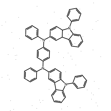 C1=CC2C(C=C1N(c1ccccc1)c1ccc(N(c3ccccc3)c3ccc4c(c3)c3ccccc3n4-c3ccccc3)cc1)c1ccccc1N2c1ccccc1